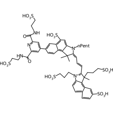 CCCCCN1/C(=C/C=C/C2=[N+](CCCS(=O)(=O)O)c3ccc4ccc(S(=O)(=O)O)cc4c3C2(C)CCCS(=O)(=O)O)C(C)(C)c2c1cc(S(=O)(=O)O)c1cc(-c3cc(C(=O)NCCS(=O)(=O)O)nc(C(=O)NCCS(=O)(=O)O)c3)ccc21